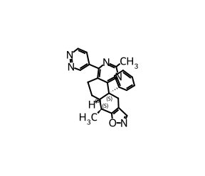 Cc1nc(-c2ccnnc2)c2c(n1)[C@@]1(c3ccccc3)Cc3cnoc3[C@@H](C)[C@@H]1CC2